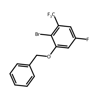 Fc1cc(OCc2ccccc2)c(Br)c(C(F)(F)F)c1